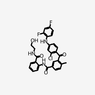 Cc1ccc(C(=O)Nc2ccccc2C(=O)NCCO)cc1C(=O)c1ccc(Nc2ccc(F)cc2F)cc1Cl